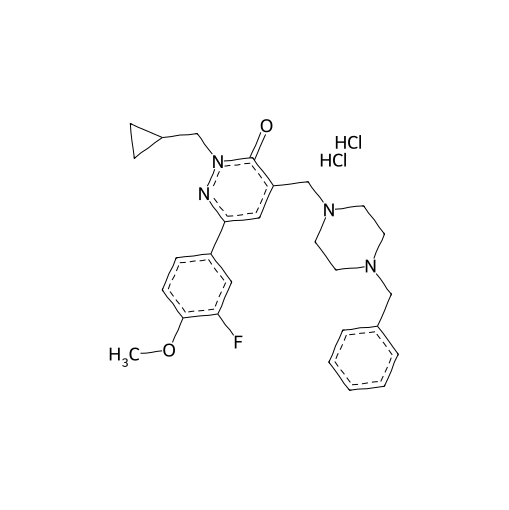 COc1ccc(-c2cc(CN3CCN(Cc4ccccc4)CC3)c(=O)n(CC3CC3)n2)cc1F.Cl.Cl